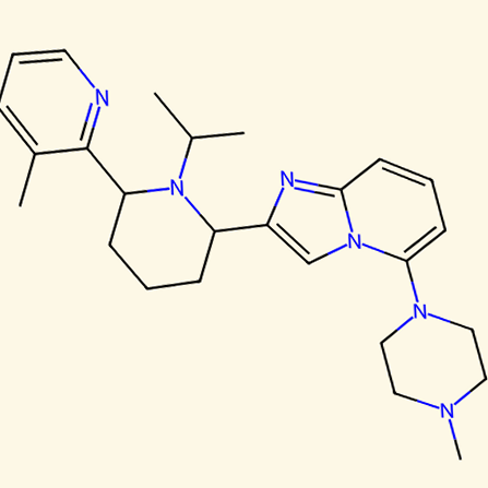 Cc1cccnc1C1CCCC(c2cn3c(N4CCN(C)CC4)cccc3n2)N1C(C)C